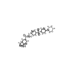 O=C(NCc1ccc(S(=O)(=O)c2ccc(N3CCCCC3)nc2)cn1)c1cnc2[nH]ncc2c1